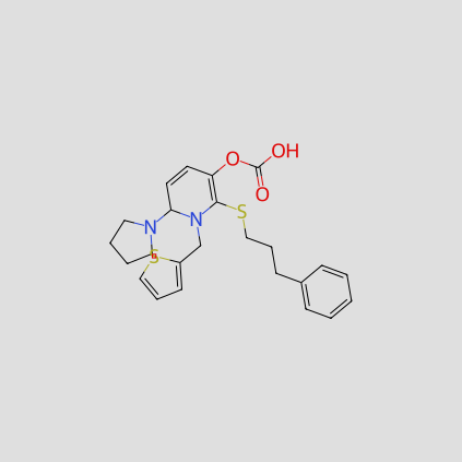 O=C(O)OC1=C(SCCCc2ccccc2)N(Cc2cccs2)C(N2CCCC2)C=C1